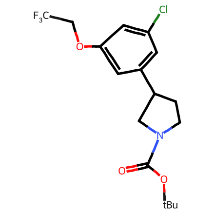 CC(C)(C)OC(=O)N1CCC(c2cc(Cl)cc(OCC(F)(F)F)c2)C1